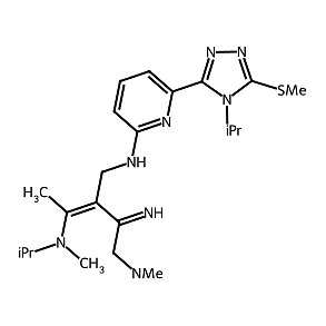 CNCC(=N)/C(CNc1cccc(-c2nnc(SC)n2C(C)C)n1)=C(/C)N(C)C(C)C